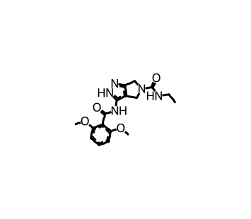 CCNC(=O)N1Cc2n[nH]c(NC(=O)c3c(OC)cccc3OC)c2C1